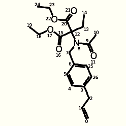 C=CCc1ccc(CN(C(C)=O)C(CC)(C(=O)OCC)C(=O)OCC)cc1